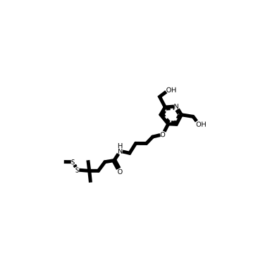 CSSC(C)(C)CCC(=O)NCCCCOc1cc(CO)nc(CO)c1